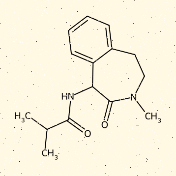 CC(C)C(=O)NC1C(=O)N(C)CCc2ccccc21